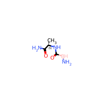 C[C@H](NC(=O)BN)C(N)=O